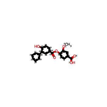 COc1cc(C(=O)O)ccc1OC(=O)c1ccc(O)c(-c2ccccc2)c1